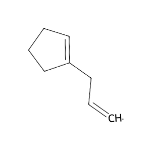 [CH]=CCC1=CCCC1